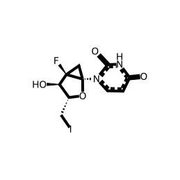 O=c1ccn([C@@]23C[C@@]2(F)[C@H](O)[C@@H](CI)O3)c(=O)[nH]1